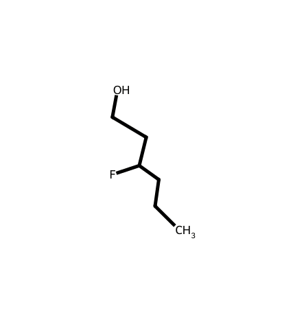 CCCC(F)CCO